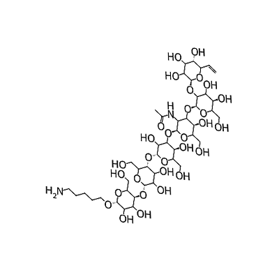 C=CC1O[C@@H](OC2C(O)[C@@H](O)C(CO)O[C@H]2OC2C(NC(C)=O)[C@H](OC3C(O)[C@@H](O[C@H]4C(CO)O[C@@H](O[C@@H]5C(CO)O[C@@H](OCCCCCN)C(O)C5O)C(O)C4O)OC(CO)[C@@H]3O)OC(CO)[C@@H]2O)C(O)C(O)[C@@H]1O